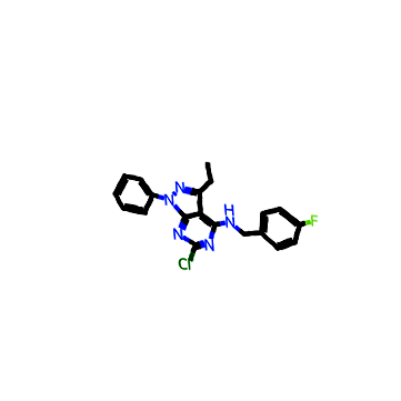 CCc1nn(-c2ccccc2)c2nc(Cl)nc(NCc3ccc(F)cc3)c12